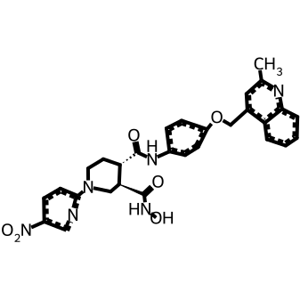 Cc1cc(COc2ccc(NC(=O)[C@H]3CCN(c4ccc([N+](=O)[O-])cn4)C[C@@H]3C(=O)NO)cc2)c2ccccc2n1